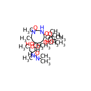 CO[C@](C)(CC(C)OC1[C@@H](C)C(=O)NCC(=O)N(C)C[C@H](C)C[C@@](C)(O)[C@H](O[C@@H]2O[C@H](C)C[C@H]3[C@H]2O/C(=N\C(C)C)N3C)[C@H]1C)[C@@H](O)C(C)C